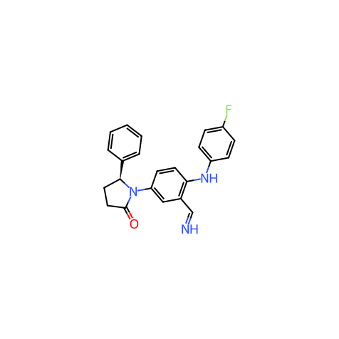 N=Cc1cc(N2C(=O)CC[C@H]2c2ccccc2)ccc1Nc1ccc(F)cc1